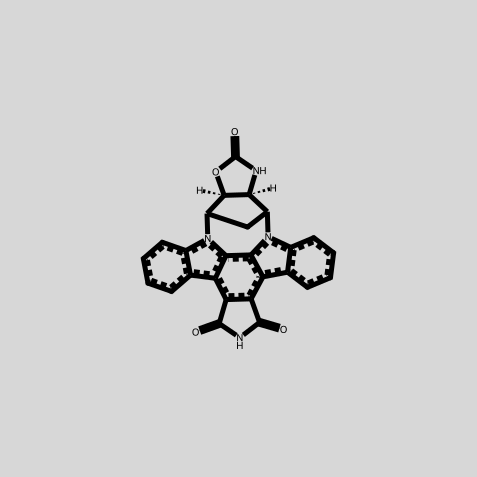 O=C1N[C@H]2C3CC([C@H]2O1)n1c2ccccc2c2c4c(c5c6ccccc6n3c5c21)C(=O)NC4=O